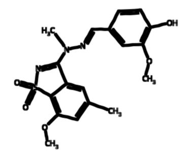 COc1cc(C=NN(C)C2=NS(=O)(=O)c3c(OC)cc(C)cc32)ccc1O